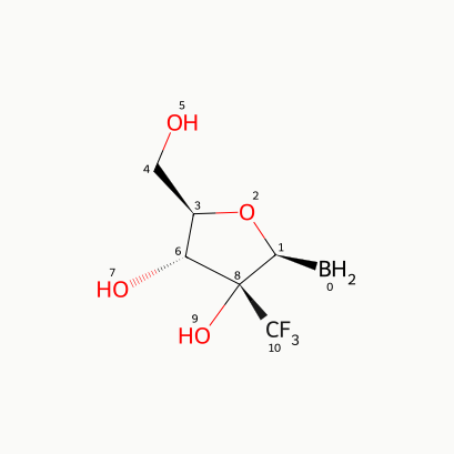 B[C@@H]1O[C@H](CO)[C@@H](O)[C@]1(O)C(F)(F)F